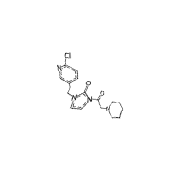 O=C(CN1CCCCC1)n1ccn(Cc2ccc(Cl)nc2)c1=O